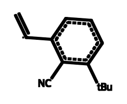 C=[C]c1cccc(C(C)(C)C)c1C#N